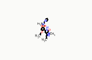 CCCOc1ccc(S(=O)(=O)N(C)CCN2CCCC2)cc1-c1cc2c(CCC)nn(C)c2c(=O)[nH]1